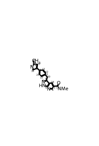 CNC(=O)c1cnc2[nH]nc(Cc3ccc(-c4cnn(C)c4)cc3)c2c1